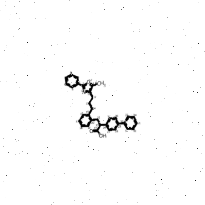 Cc1oc(-c2ccccc2)nc1CCCc1ccccc1CC(C(=O)O)c1ccc(-c2ccccc2)cc1